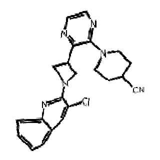 N#CC1CCN(c2nccnc2C2CN(c3nc4ccccc4cc3Cl)C2)CC1